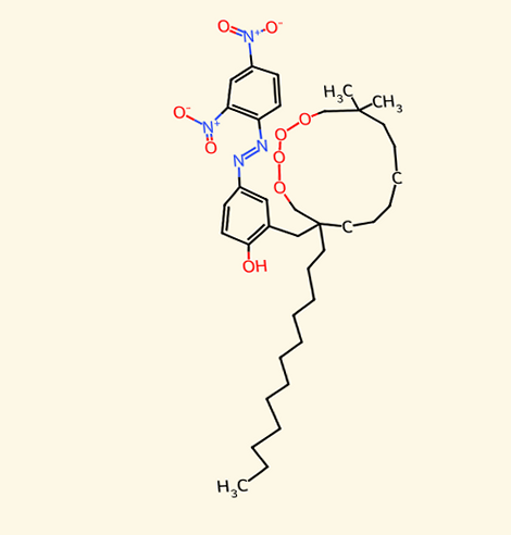 CCCCCCCCCCCCC1(Cc2cc(N=Nc3ccc([N+](=O)[O-])cc3[N+](=O)[O-])ccc2O)CCCCCCC(C)(C)COOOOC1